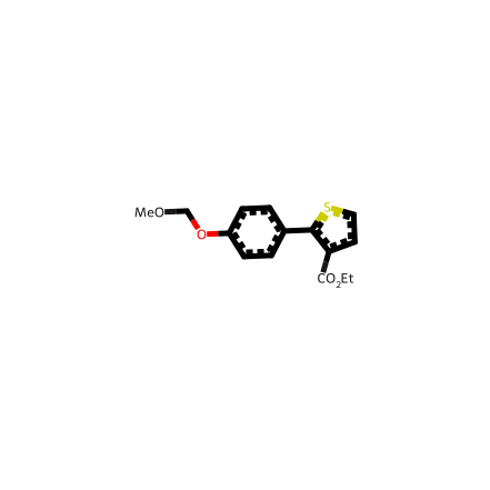 CCOC(=O)c1ccsc1-c1ccc(OCOC)cc1